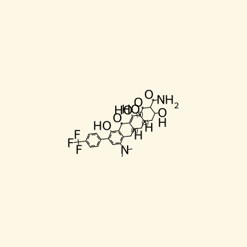 CN(C)c1cc(-c2ccc(C(F)(F)F)cc2)c(O)c2c1C[C@H]1C[C@H]3CC(O)C(C(N)=O)C(=O)[C@@]3(O)C(O)=C1C2=O